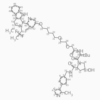 Cc1ncsc1-c1ccc(CNC(=O)[C@@H]2C[C@@H](O)CN2C(=O)[C@@H](NC(=O)COCCOCCCCCOc2cnc([C@@H]3c4[nH]c5ccccc5c4C[C@@H](C)N3CC(C)(F)F)c(F)c2)C(C)(C)C)cc1